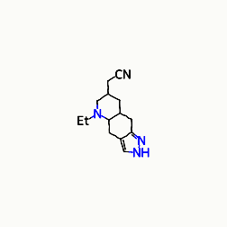 CCN1CC(CC#N)CC2Cc3n[nH]cc3CC21